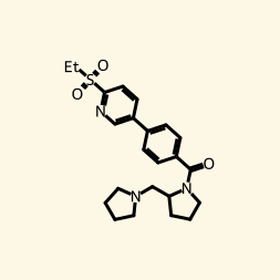 CCS(=O)(=O)c1ccc(-c2ccc(C(=O)N3CCCC3CN3CCCC3)cc2)cn1